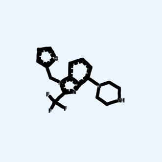 FC(F)(F)c1nc2c(N3CCNCC3)cccc2n1Cc1ccco1